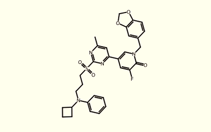 Cc1cc(-c2cc(F)c(=O)n(Cc3ccc4c(c3)OCO4)c2)nc(S(=O)(=O)CCCN(c2ccccc2)C2CCC2)n1